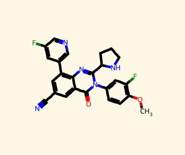 COc1ccc(-n2c(C3CCCN3)nc3c(-c4cncc(F)c4)cc(C#N)cc3c2=O)cc1F